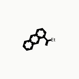 [CH]=C(CC)c1cccc2cc3ccccc3cc12